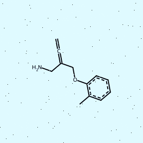 C=C=C(CN)COc1ccccc1C